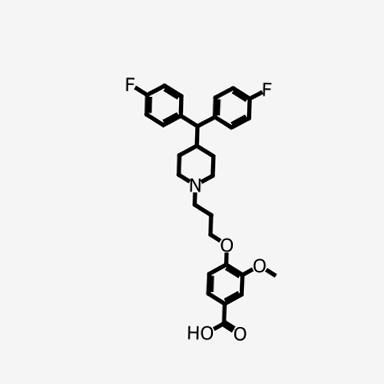 COc1cc(C(=O)O)ccc1OCCCN1CCC(C(c2ccc(F)cc2)c2ccc(F)cc2)CC1